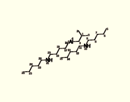 CC(C)[CH2][Al].CCCCCNCCCCC.CCCCCNCCCCC